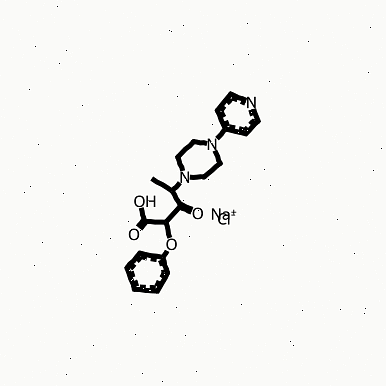 CC(C(=O)C(Oc1ccccc1)C(=O)O)N1CCN(c2ccncc2)CC1.[Cl-].[Na+]